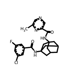 Cc1cncc(C(=O)NC23CC4CC(CC(NC(=O)c5cc(F)cc(Cl)c5)(C4)C2)C3)n1